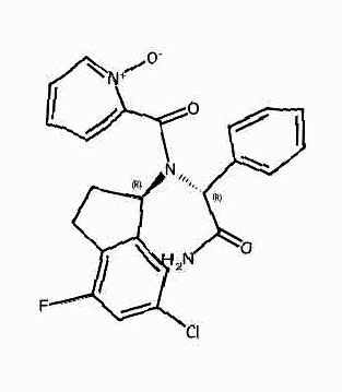 NC(=O)[C@@H](c1ccccc1)N(C(=O)c1cccc[n+]1[O-])[C@@H]1CCc2c(F)cc(Cl)cc21